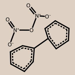 O=[N+]([O-])O[N+](=O)[O-].c1ccc(-c2ccccc2)cc1